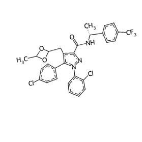 CC1OC(Cc2c(C(=O)N[C@H](C)c3ccc(C(F)(F)F)cc3)nn(-c3ccccc3Cl)c2-c2ccc(Cl)cc2)O1